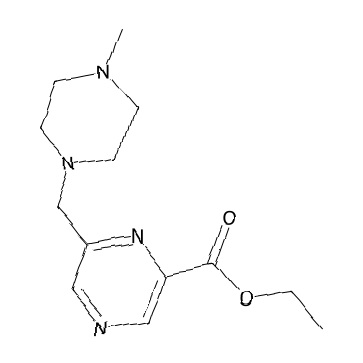 CCOC(=O)c1cncc(CN2CCN(C)CC2)n1